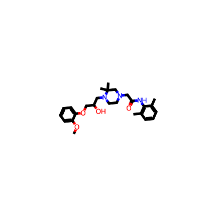 COc1ccccc1OCC(O)CN1CCN(CC(=O)Nc2c(C)cccc2C)CC1(C)C